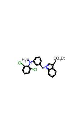 CCOC(=O)Cc1cn(Cc2cccc(N(C)c3c(Cl)cccc3Cl)c2)c2ccccc12